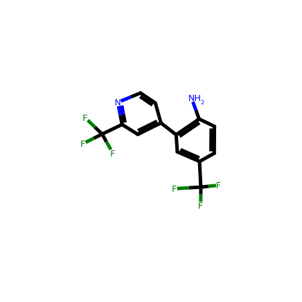 Nc1ccc(C(F)(F)F)cc1-c1ccnc(C(F)(F)F)c1